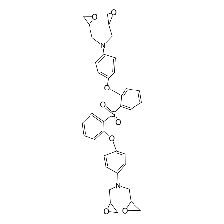 O=S(=O)(c1ccccc1Oc1ccc(N(CC2CO2)CC2CO2)cc1)c1ccccc1Oc1ccc(N(CC2CO2)CC2CO2)cc1